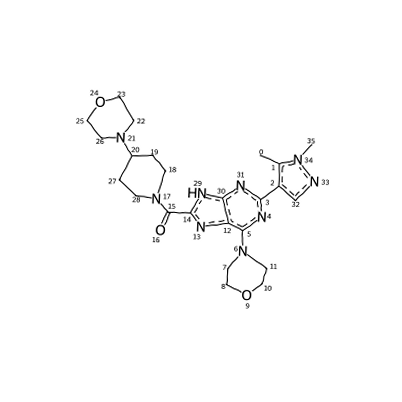 Cc1c(-c2nc(N3CCOCC3)c3nc(C(=O)N4CCC(N5CCOCC5)CC4)[nH]c3n2)cnn1C